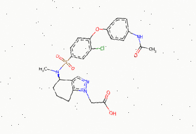 CC(=O)Nc1ccc(Oc2ccc(S(=O)(=O)N(C)[C@@H]3CCCc4c3cnn4CC(=O)O)cc2Cl)cc1